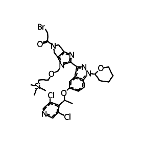 CC(Oc1ccc2c(c1)c(-c1nc3c(n1COCC[Si](C)(C)C)CN(C(=O)CBr)C3)nn2C1CCCCO1)c1c(Cl)cncc1Cl